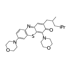 CC(C)CC(C)Cc1cc2nc3ccc(N4CCOCC4)cc3sc-2c(N2CCOCC2)c1=O